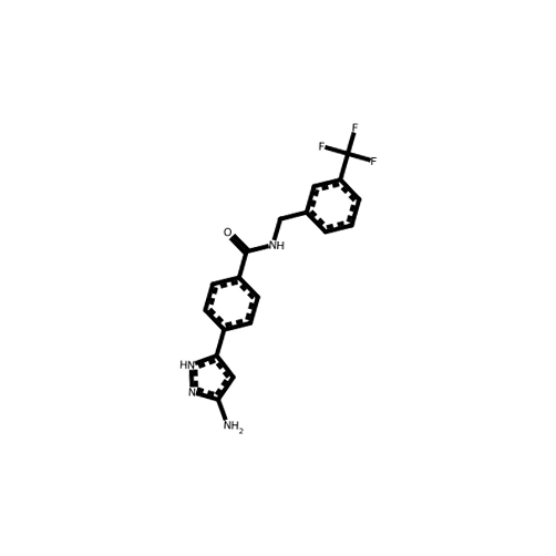 Nc1cc(-c2ccc(C(=O)NCc3cccc(C(F)(F)F)c3)cc2)[nH]n1